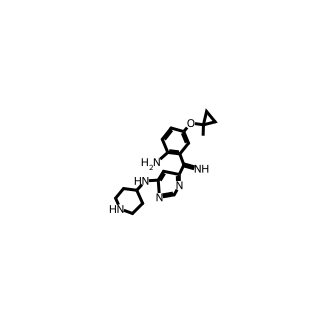 CC1(Oc2ccc(N)c(C(=N)c3cc(NC4CCNCC4)ncn3)c2)CC1